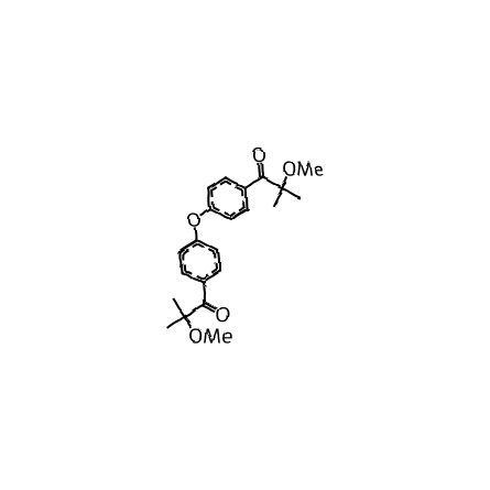 COC(C)(C)C(=O)c1ccc(Oc2ccc(C(=O)C(C)(C)OC)cc2)cc1